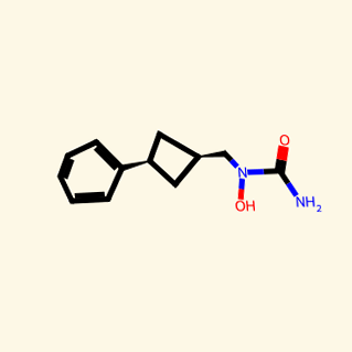 NC(=O)N(O)C[C@H]1C[C@@H](c2ccccc2)C1